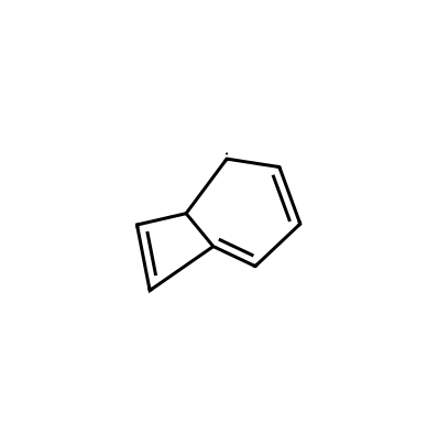 [CH]1C=CC=C2C=CC12